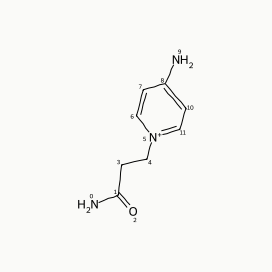 NC(=O)CC[n+]1ccc(N)cc1